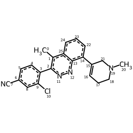 Cc1c(-c2ccc(C#N)cc2Cl)nnc2c(C3=CCCN(C)C3)cccc12